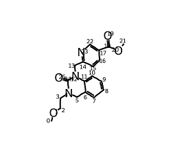 COCCN1Cc2ccccc2N(Cc2ccc(C(=O)OC)cn2)C1=O